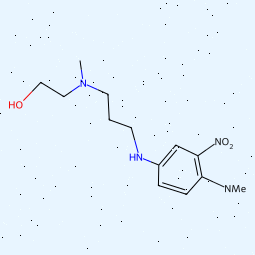 CNc1ccc(NCCCN(C)CCO)cc1[N+](=O)[O-]